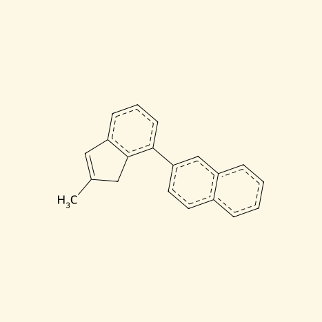 CC1=Cc2cccc(-c3ccc4ccccc4c3)c2C1